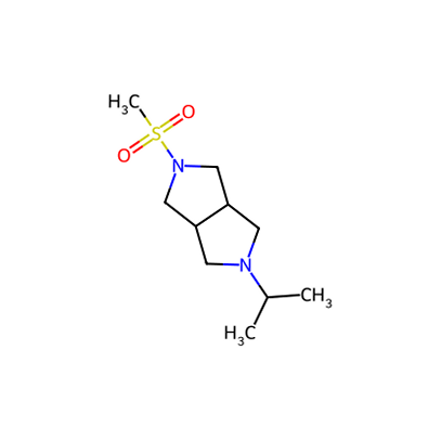 CC(C)N1CC2CN(S(C)(=O)=O)CC2C1